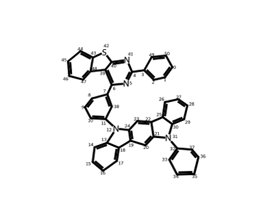 c1ccc(-c2nc(-c3cccc(-n4c5ccccc5c5cc6c(cc54)c4ccccc4n6-c4ccccc4)c3)c3c(n2)sc2ccccc23)cc1